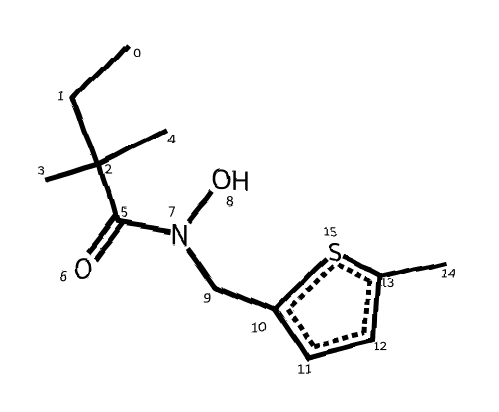 CCC(C)(C)C(=O)N(O)Cc1ccc(C)s1